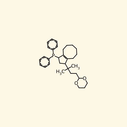 CC(C)(CCC1OCCCO1)C1CC(P(c2ccccc2)c2ccccc2)C2=C1CCCCCC2